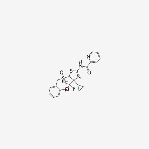 O=C(NC1=NC(C2CC2)(C(F)(F)F)C(S(=O)(=O)Cc2ccccc2Cl)S1)c1ccccn1